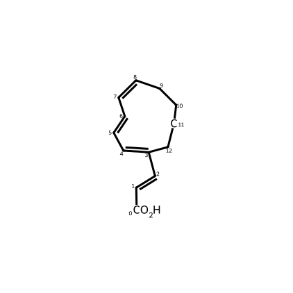 O=C(O)C=C/C1=C/C=C/C=C\CCCC1